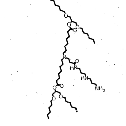 CCCCCCOCC(COCCCCCC)OC(=O)CCCCCCCN(CCCCCCCC(=O)OC(COCCCCCC)COCCCCCC)CCC(=O)NCCCNCCCN